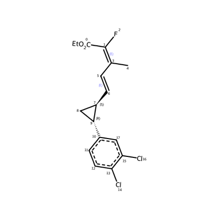 CCOC(=O)/C(F)=C(C)\C=C\[C@@H]1C[C@H]1c1ccc(Cl)c(Cl)c1